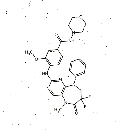 COc1cc(C(=O)NN2CCOCC2)ccc1Nc1ncc2c(n1)N(c1ccccc1)CC(F)(F)C(=O)N2C